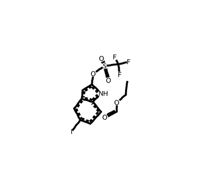 CCOC=O.O=S(=O)(Oc1cc2cc(I)ccc2[nH]1)C(F)(F)F